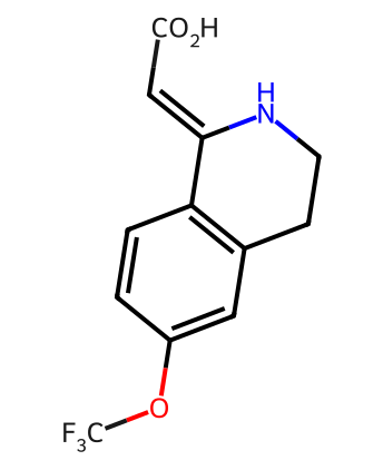 O=C(O)C=C1NCCc2cc(OC(F)(F)F)ccc21